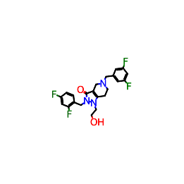 O=c1c2c(n(CCO)n1Cc1ccc(F)cc1F)CCN(Cc1cc(F)cc(F)c1)C2